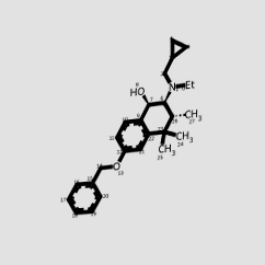 CCN(CC1CC1)[C@@H]1[C@H](O)c2ccc(OCc3ccccc3)cc2C(C)(C)[C@H]1C